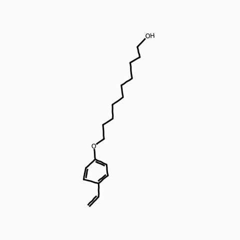 C=Cc1ccc(OCCCCCCCCCCO)cc1